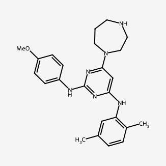 COc1ccc(Nc2nc(Nc3cc(C)ccc3C)cc(N3CCCNCC3)n2)cc1